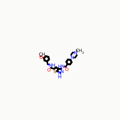 COc1cccc(CNC(=O)c2cc3c(NC(=O)c4ccc(N5CCN(C)CC5)cc4)n[nH]c3s2)c1